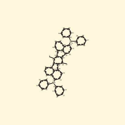 Cc1c2c3cccc4c(N(c5ccccc5)c5ccccc5)ccc(c2c(C)c2c5ccc(N(c6ccccc6)c6ccccc6)c6cccc(c12)c65)c43